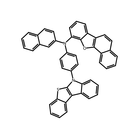 c1ccc2cc(N(c3ccc(-n4c5ccccc5c5c6ccccc6sc54)cc3)c3cccc4c3oc3c5ccccc5ccc43)ccc2c1